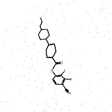 CCCC1CCC(C2CCC(C(=O)Oc3ccc(C#N)c(F)c3F)CC2)CC1